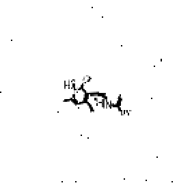 C=C(NCc1c(C)cc(C)n(O)c1=O)C(C)C